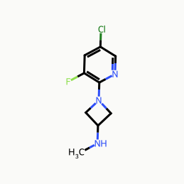 CNC1CN(c2ncc(Cl)cc2F)C1